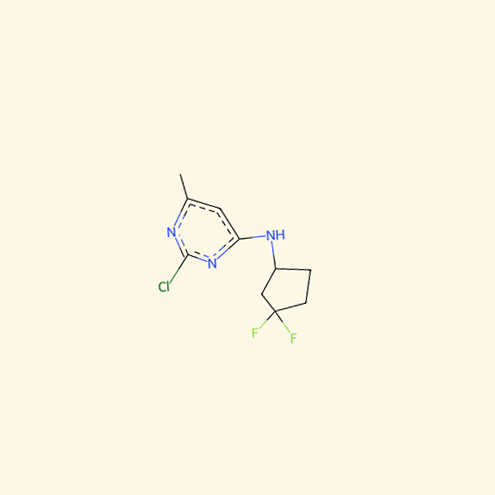 Cc1cc(NC2CCC(F)(F)C2)nc(Cl)n1